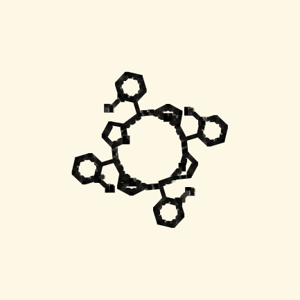 CC[n+]1ccccc1-c1c2nc(c(-c3cccc[n+]3CC)c3ccc([nH]3)c(-c3cccc[n+]3CC)c3nc(c(-c4cccc[n+]4CC)c4ccc1[nH]4)C=C3)C=C2